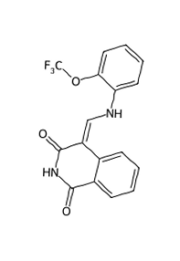 O=C1NC(=O)c2ccccc2C1=CNc1ccccc1OC(F)(F)F